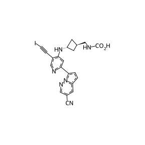 N#Cc1cnn2c(-c3cc(N[C@H]4C[C@H](CNC(=O)O)C4)c(C#CI)cn3)ccc2c1